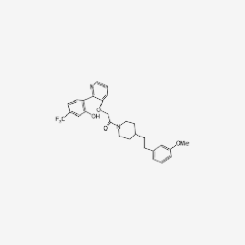 COc1cccc(CCC2CCN(C(=O)COc3cccnc3-c3ccc(C(F)(F)F)cc3O)CC2)c1